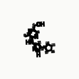 Cc1nc(CO)cnc1Nc1cc(C2CCCC2)[nH]n1